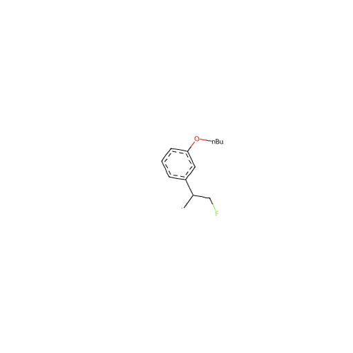 [CH2]C(CF)c1cccc(OCCCC)c1